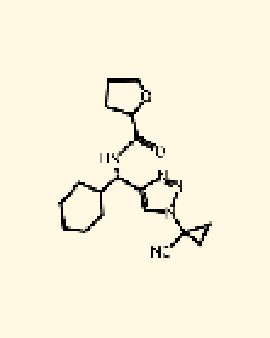 N#CC1(n2cc([C@@H](NC(=O)C3CCCO3)C3CCCCC3)nn2)CC1